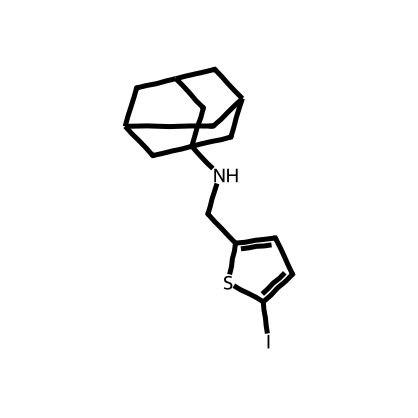 Ic1ccc(CNC23CC4CC(CC(C4)C2)C3)s1